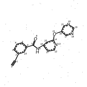 C#Cc1cccc(C(=O)Nc2ccnc(Oc3cncnc3)c2)c1